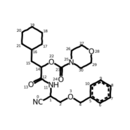 N#CC(COCc1ccccc1)NC(=O)C(CC1CCCCC1)OC(=O)N1CCOCC1